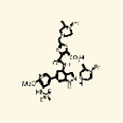 CC(C)N1CCNCC1C.COc1ncc(-c2cc(NC(=O)c3nc(CN4CCN(C(C)C)C(C)C4)sc3C(=O)O)c3cn[nH]c3c2)cc1NS(C)(=O)=O